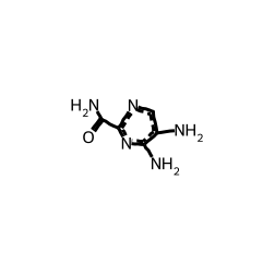 NC(=O)c1ncc(N)c(N)n1